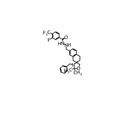 CC1(C)OC[C@@]2(CCc3ccc(CNNC(=O)c4ccc(C(F)(F)F)c(F)c4)cc3C2)N1Cc1ccccc1